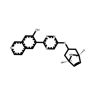 Oc1cc2cnccc2cc1-c1ncc(SC2C[C@H]3C=C[C@@H](C2)N3)nn1